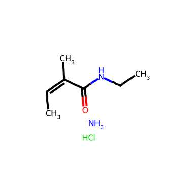 CC=C(C)C(=O)NCC.Cl.N